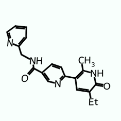 CCc1cc(-c2ccc(C(=O)NCc3ccccn3)cn2)c(C)[nH]c1=O